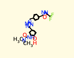 CN(C)C(=O)Nc1cc(-c2nnn(Cc3ccc(-c4nnc(C(F)F)o4)cc3)n2)ccc1O